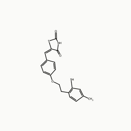 Cc1ccc(CCOc2ccc(C=C3SC(=O)NC3=O)cc2)c(S)c1